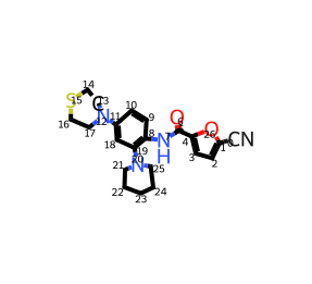 N#Cc1ccc(C(=O)Nc2ccc(N3CCSCC3)cc2N2CCCCC2)o1